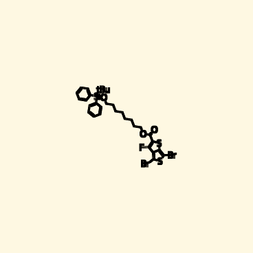 CC(C)(C)[Si](OCCCCCCCCOC(=O)c1sc2c(Br)sc(Br)c2c1F)(c1ccccc1)c1ccccc1